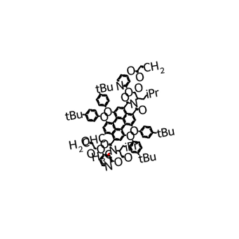 C=CC(=O)Oc1ccnc(OC(=O)C(CC(C)C)N(C)C(=O)c2cc(Oc3ccc(C(C)(C)C)cc3)c3c4c(Oc5ccc(C(C)(C)C)cc5)cc5c6c(cc(Oc7ccc(C(C)(C)C)cc7)c(c7c(Oc8ccc(C(C)(C)C)cc8)cc(C=O)c2c73)c64)C(=O)N(C(CC(C)C)C(=O)Oc2cc(OC(=O)C=C)ccn2)C5=O)c1